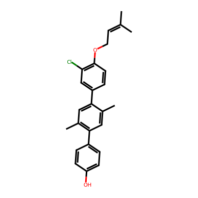 CC(C)=CCOc1ccc(-c2cc(C)c(-c3ccc(O)cc3)cc2C)cc1Cl